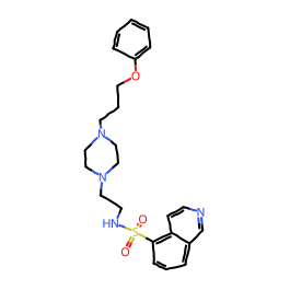 O=S(=O)(NCCN1CCN(CCCOc2ccccc2)CC1)c1cccc2cnccc12